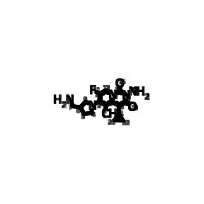 Cc1c(N2CCC(CN)C2)c(F)cn2c(=O)n(N)c(=O)c(C3CC3)c12